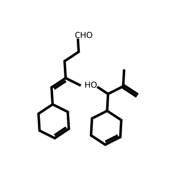 C/C(=C\C1CC=CCC1)CCC=O.C=C(C)C(O)C1CC=CCC1